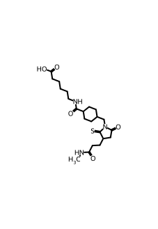 CNC(=O)CCC1CC(=O)N(CC2CCC(C(=O)NCCCCCC(=O)O)CC2)C1=S